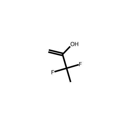 C=C(O)C(C)(F)F